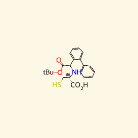 CC(C)(C)OC(=O)C(N[C@@H](CS)C(=O)O)c1ccccc1-c1ccccc1